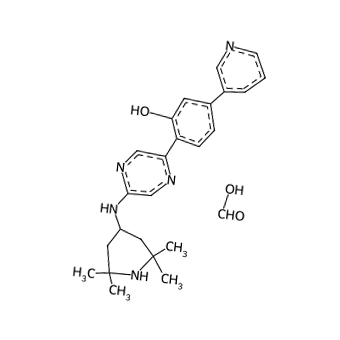 CC1(C)CC(Nc2cnc(-c3ccc(-c4cccnc4)cc3O)cn2)CC(C)(C)N1.O=CO